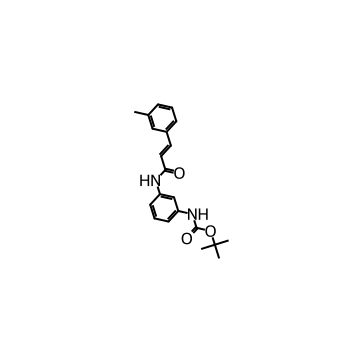 Cc1cccc(C=CC(=O)Nc2cccc(NC(=O)OC(C)(C)C)c2)c1